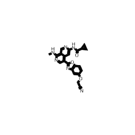 CNc1ncc(-c2nc3cc(OCC#N)ccc3o2)c2cc(NC(=O)C3CC3)ncc12